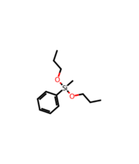 CCCO[Si](C)(OCCC)c1ccccc1